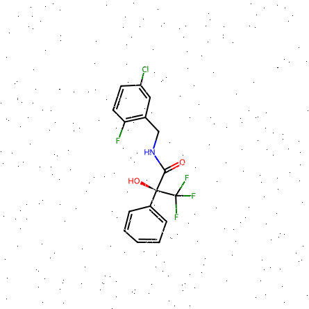 O=C(NCc1cc(Cl)ccc1F)[C@@](O)(c1ccccc1)C(F)(F)F